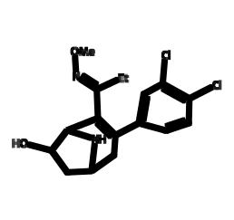 CCC(=NOC)C1=C(c2ccc(Cl)c(Cl)c2)CC2CC(O)C1N2